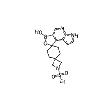 CCS(=O)(=O)N1CC2(CCC3(CC2)OB(O)c2cnc4[nH]ccc4c23)C1